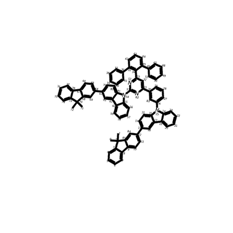 CC1(C)c2ccccc2-c2ccc(-c3ccc4c(c3)c3ccccc3n4-c3cccc(-c4cc(-c5c(-c6ccccc6)cccc5-c5ccccc5)nc(-n5c6ccccc6c6cc(-c7ccc8c(c7)C(C)(C)c7ccccc7-8)ccc65)n4)c3)cc21